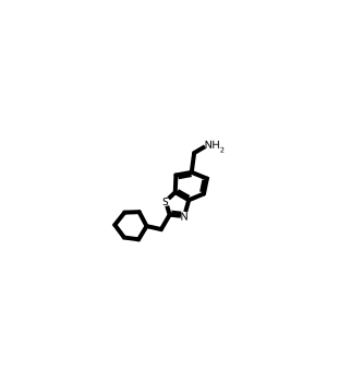 NCc1ccc2nc(CC3CCCCC3)sc2c1